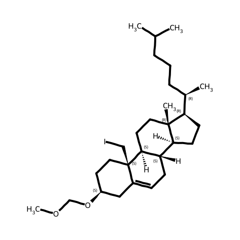 COCO[C@H]1CC[C@@]2(CI)C(=CC[C@@H]3[C@@H]2CC[C@]2(C)[C@@H]([C@H](C)CCCC(C)C)CC[C@@H]32)C1